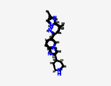 Cc1cn2nc(-c3ccc4nc(C5CCNCC5)cn4c3)cc(C)c2n1